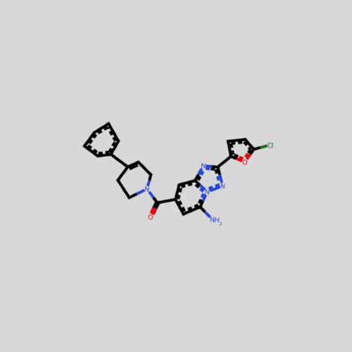 Nc1cc(C(=O)N2CC=C(c3ccccc3)CC2)cc2nc(-c3ccc(Cl)o3)nn12